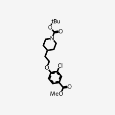 COC(=O)c1ccc(OCCC2CCN(C(=O)OC(C)(C)C)CC2)c(Cl)c1